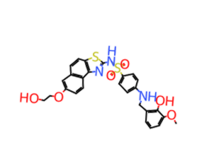 COc1cccc(CNc2ccc(S(=O)(=O)Nc3nc4c(ccc5cc(OCCO)ccc54)s3)cc2)c1O